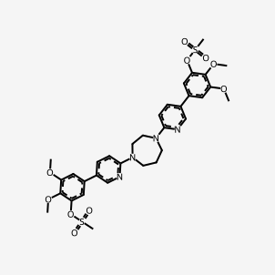 COc1cc(-c2ccc(N3CCCN(c4ccc(-c5cc(OC)c(OC)c(OS(C)(=O)=O)c5)cn4)CC3)nc2)cc(OS(C)(=O)=O)c1OC